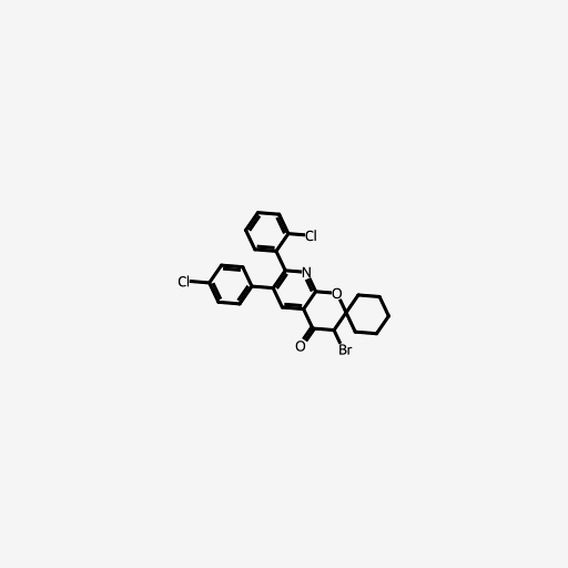 O=C1c2cc(-c3ccc(Cl)cc3)c(-c3ccccc3Cl)nc2OC2(CCCCC2)C1Br